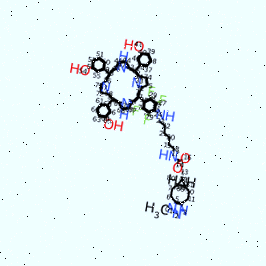 Cn1nnc2c1CC[C@H]1[C@@H](CC2)[C@H]1COC(=O)NCCCCCCNc1c(F)c(F)c(-c2c3nc(c(-c4cccc(O)c4)c4ccc([nH]4)c(-c4cccc(O)c4)c4nc(c(-c5cccc(O)c5)c5ccc2[nH]5)C=C4)C=C3)c(F)c1F